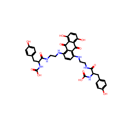 O=C(O)NC(Cc1ccc(O)cc1)C(=O)NCCNc1ccc(NCCNC(=O)C(Cc2ccc(O)cc2)NC(=O)O)c2c1C(=O)c1c(O)ccc(O)c1C2=O